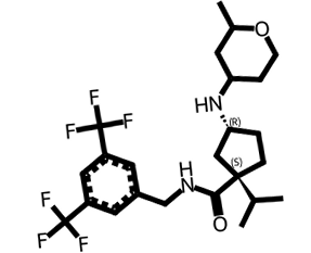 CC1CC(N[C@@H]2CC[C@@](C(=O)NCc3cc(C(F)(F)F)cc(C(F)(F)F)c3)(C(C)C)C2)CCO1